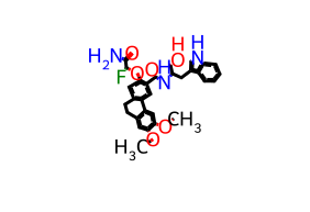 COc1cc2c(cc1OC)-c1cc(C(=O)NC(CO)Cc3c[nH]c4ccccc34)c(OC(F)C(N)=O)cc1CC2